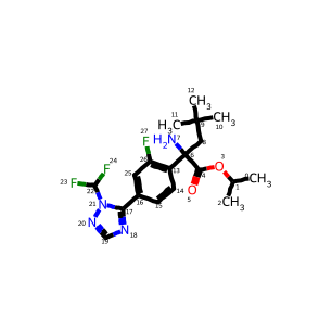 CC(C)OC(=O)C(N)(CC(C)(C)C)c1ccc(-c2ncnn2C(F)F)cc1F